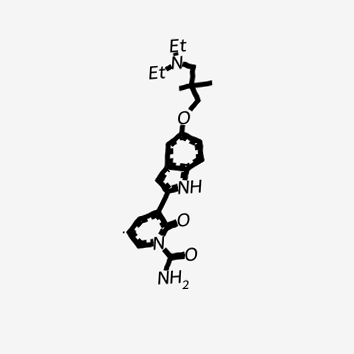 CCN(CC)CC(C)(C)COc1ccc2[nH]c(-c3c[c]cn(C(N)=O)c3=O)cc2c1